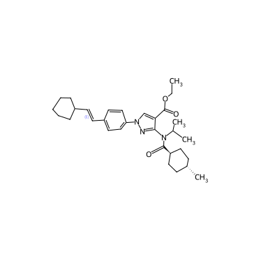 CCOC(=O)c1cn(-c2ccc(/C=C/C3CCCCC3)cc2)nc1N(C(=O)[C@H]1CC[C@H](C)CC1)C(C)C